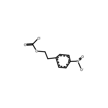 O=C(Cl)OCCc1ccc([N+](=O)[O-])cc1